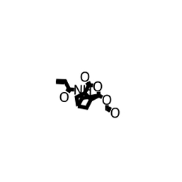 C=CC(=O)NC1C2CC3C(=O)OC1(OC=O)C3C2